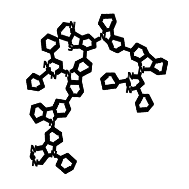 c1ccc(-c2cc(-n3c4ccccc4c4ccc(-c5ccc6c(c5)c5ccccc5n6-c5cc(-c6ccc7c8ccc(-c9ccc%10c(c9)c9ccccc9n%10-c9ccc%10c(c9)c9ncncc9n%10-c9ccccc9)cc8n(-c8cc(-c9ccccc9)nc(-c9ccccc9)n8)c7c6)c6sc7cccnc7c6c5)cc43)nc(-c3ccccc3)n2)cc1